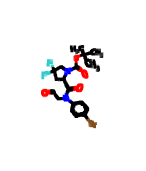 CC(C)(C)OC(=O)N1CC(F)(F)CC1C(=O)N(CC=O)c1ccc(Br)cc1